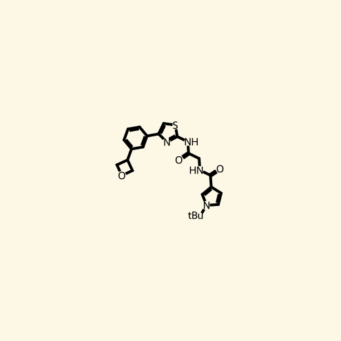 CC(C)(C)n1ccc(C(=O)NCC(=O)Nc2nc(-c3cccc(C4COC4)c3)cs2)c1